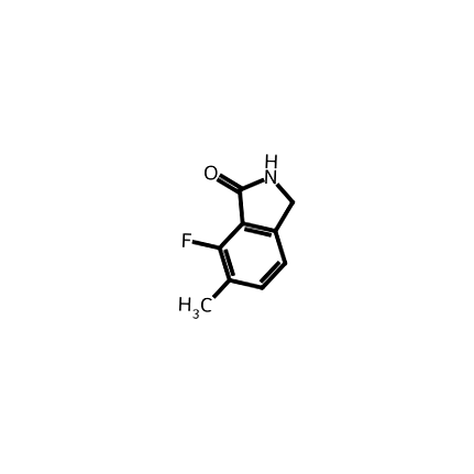 Cc1ccc2c(c1F)C(=O)NC2